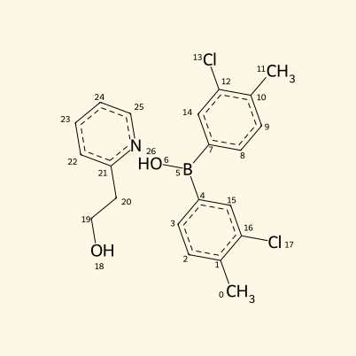 Cc1ccc(B(O)c2ccc(C)c(Cl)c2)cc1Cl.OCCc1ccccn1